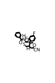 N#C[C@H]1C[C@H]2CSC(NC(=O)c3ccccc3)=N[C@@]2(c2ccc(F)cc2F)CO1